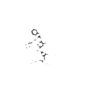 CCOC(=O)c1nc(N(C)c2cc(C)c(N=c3sc4ccccc4n3COCC[Si](C)(C)C)nn2)sc1CC(CO[Si](C(C)C)(C(C)C)C(C)C)OC